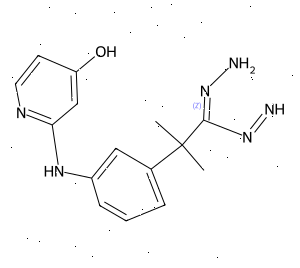 CC(C)(/C(N=N)=N/N)c1cccc(Nc2cc(O)ccn2)c1